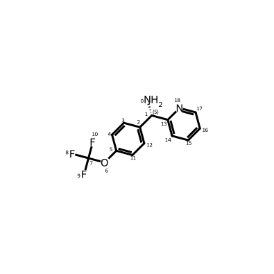 N[C@@H](c1ccc(OC(F)(F)F)cc1)c1ccccn1